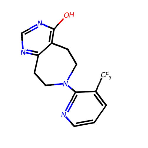 Oc1ncnc2c1CCN(c1ncccc1C(F)(F)F)CC2